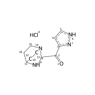 Cl.O=C(c1cc[nH]n1)C1CNC2CCN1CC2